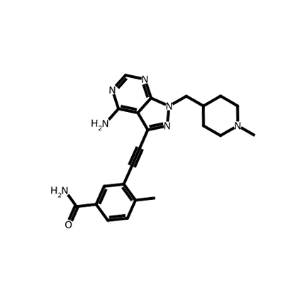 Cc1ccc(C(N)=O)cc1C#Cc1nn(CC2CCN(C)CC2)c2ncnc(N)c12